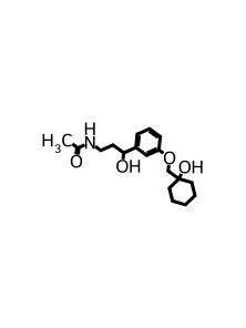 CC(=O)NCCC(O)c1cccc(OCC2(O)CCCCC2)c1